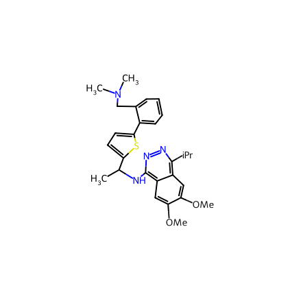 COc1cc2c(NC(C)c3ccc(-c4ccccc4CN(C)C)s3)nnc(C(C)C)c2cc1OC